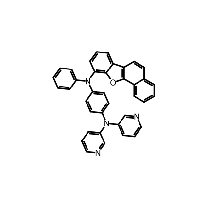 c1ccc(N(c2ccc(N(c3cccnc3)c3cccnc3)cc2)c2cccc3c2oc2c4ccccc4ccc32)cc1